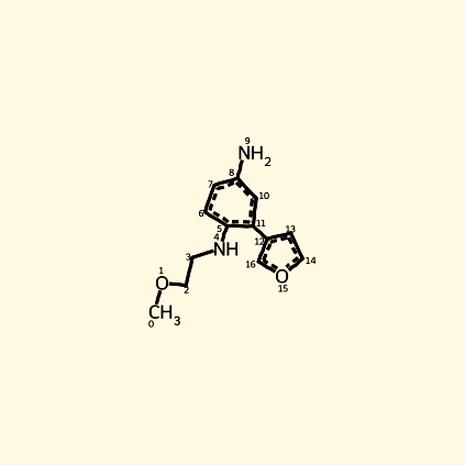 COCCNc1ccc(N)cc1-c1ccoc1